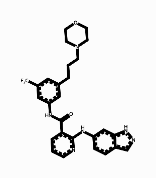 O=C(Nc1cc(CCCN2CCOCC2)cc(C(F)(F)F)c1)c1cccnc1Nc1ccc2cn[nH]c2c1